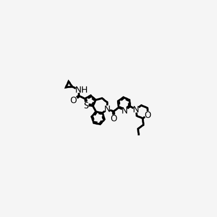 CCCC1CN(c2cccc(C(=O)N3CCc4cc(C(=O)NC5CC5)sc4-c4ccccc43)n2)CCO1